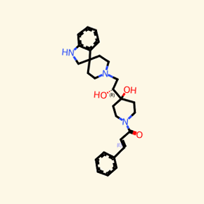 O=C(/C=C/c1ccccc1)N1CCC(O)([C@H](O)CN2CCC3(CC2)CNc2ccccc23)CC1